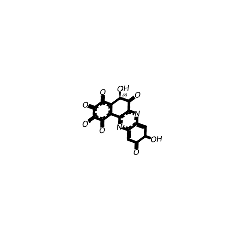 O=C1C=c2nc3c(nc2=CC1O)C(=O)[C@H](O)c1c-3c(=O)c(=O)c(=O)c1=O